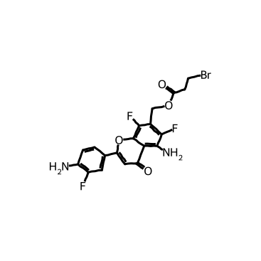 Nc1ccc(-c2cc(=O)c3c(N)c(F)c(COC(=O)CCBr)c(F)c3o2)cc1F